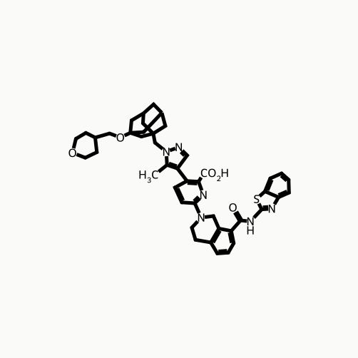 Cc1c(-c2ccc(N3CCc4cccc(C(=O)Nc5nc6ccccc6s5)c4C3)nc2C(=O)O)cnn1CC12CC3CC(C1)CC(OCC1CCOCC1)(C3)C2